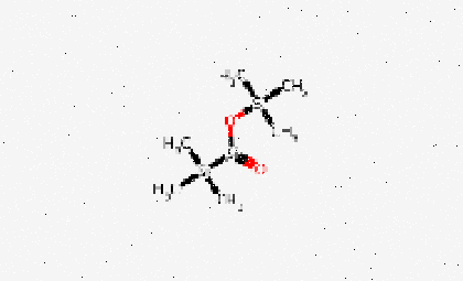 C[Si](C)(C)O[Si](=O)[Si](C)(C)C